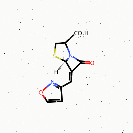 O=C(O)C1CS[C@@H]2C(=Cc3ccon3)C(=O)N12